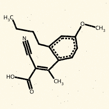 CCCCc1cc(OC)ccc1C(C)=C(C#N)C(=O)O